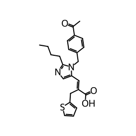 CCCCc1ncc(/C=C(\Cc2cccs2)C(=O)O)n1Cc1ccc(C(C)=O)cc1